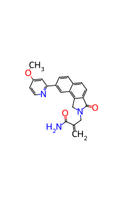 C=C(CN1Cc2c(ccc3ccc(-c4cc(OC)ccn4)cc23)C1=O)C(N)=O